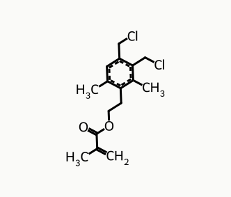 C=C(C)C(=O)OCCc1c(C)cc(CCl)c(CCl)c1C